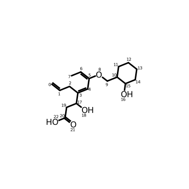 C=CC/C(=C\C(=C/C)OCC1CCCCC1O)C(O)CC(=O)O